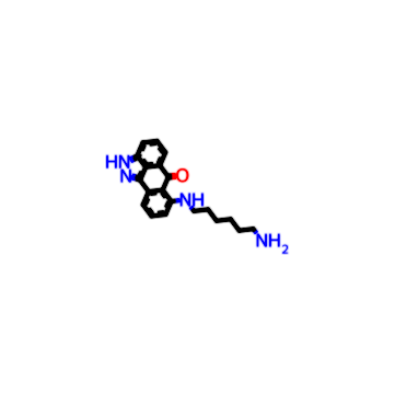 NCCCCCCNc1cccc2c1C(=O)c1cccc3[nH]nc-2c13